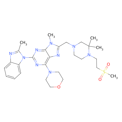 Cc1nc2ccccc2n1-c1nc(N2CCOCC2)c2nc(CN3CCN(CCS(C)(=O)=O)C(C)(C)C3)n(C)c2n1